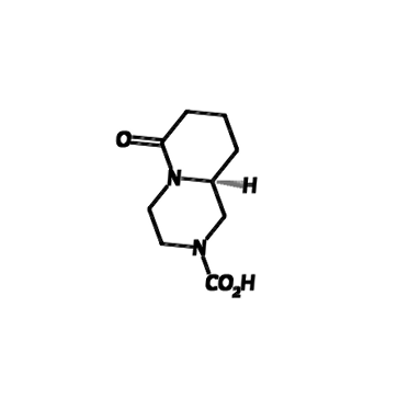 O=C(O)N1CCN2C(=O)CCC[C@H]2C1